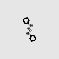 c1ccc(NOONc2ccccc2)cc1